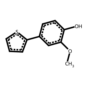 COc1cc(-c2cccs2)ccc1O